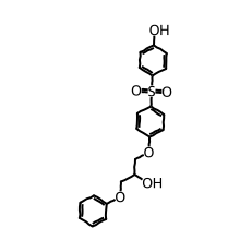 O=S(=O)(c1ccc(O)cc1)c1ccc(OCC(O)COc2ccccc2)cc1